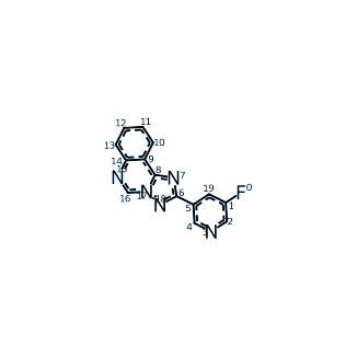 Fc1cncc(-c2nc3c4ccccc4ncn3n2)c1